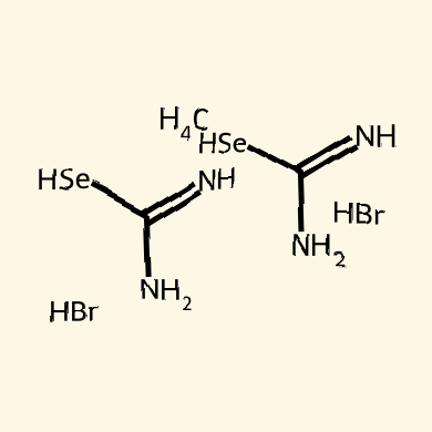 Br.Br.C.N=C(N)[SeH].N=C(N)[SeH]